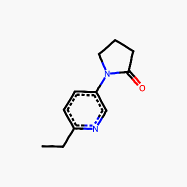 CCc1ccc(N2CCCC2=O)cn1